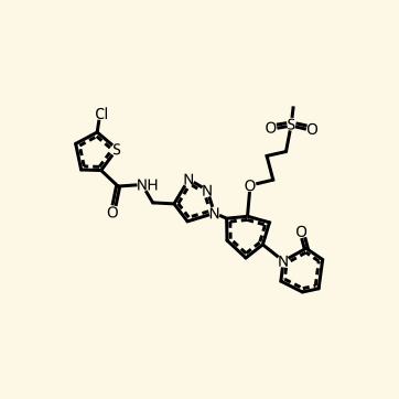 CS(=O)(=O)CCCOc1cc(-n2ccccc2=O)ccc1-n1cc(CNC(=O)c2ccc(Cl)s2)nn1